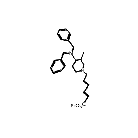 CCOC(=O)CCCCCN1CC[C@@H](N(Cc2ccccc2)Cc2ccccc2)C(C)C1